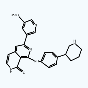 COc1cncc(-c2cc3cc[nH]c(=O)c3c(Nc3ccc(C4CCCNC4)cc3)n2)c1